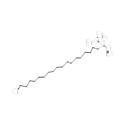 CCO[Si](CCCCCCCCCCCCCCCCCCCl)(OCC)OCC